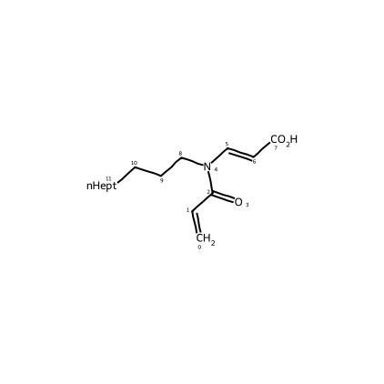 C=CC(=O)N(C=CC(=O)O)CCCCCCCCCC